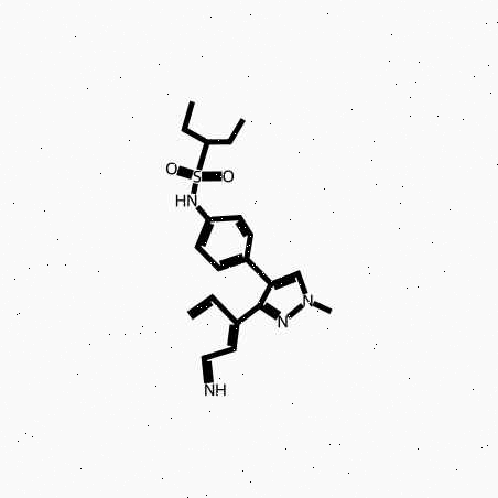 C=C/C(=C\C=N)c1nn(C)cc1-c1ccc(NS(=O)(=O)C(CC)CC)cc1